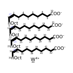 CCCCCCCC/C=C\CCCCCCCC(=O)[O-].CCCCCCCC/C=C\CCCCCCCC(=O)[O-].CCCCCCCC/C=C\CCCCCCCC(=O)[O-].CCCCCCCC/C=C\CCCCCCCC(=O)[O-].[W+4]